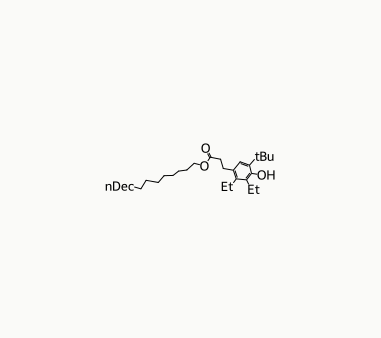 CCCCCCCCCCCCCCCCCCOC(=O)CCc1cc(C(C)(C)C)c(O)c(CC)c1CC